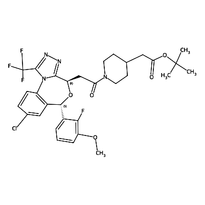 COc1cccc([C@H]2O[C@H](CC(=O)N3CCC(CC(=O)OC(C)(C)C)CC3)c3nnc(C(F)(F)F)n3-c3ccc(Cl)cc32)c1F